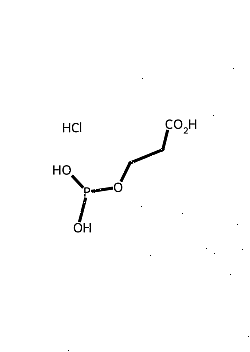 Cl.O=C(O)CCOP(O)O